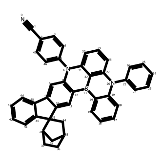 N#Cc1ccc(N2c3cc4c(cc3B3c5ccccc5N(c5ccccc5)c5cccc2c53)C2(CC3CCC2C3)c2ccccc2-4)cc1